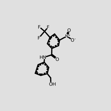 O=C(Nc1cccc(CO)c1)c1cc([N+](=O)[O-])cc(C(F)(F)F)c1